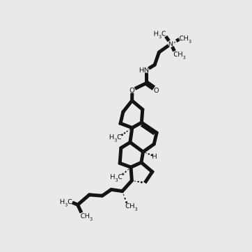 CC(C)CCC[C@@H](C)[C@H]1CCC2[C@@H]3CC=C4CC(OC(=O)NCC[N+](C)(C)C)CC[C@]4(C)C3CC[C@@]21C